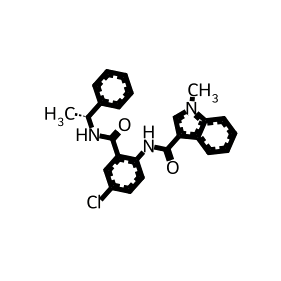 C[C@@H](NC(=O)c1cc(Cl)ccc1NC(=O)c1cn(C)c2ccccc12)c1ccccc1